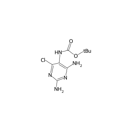 CC(C)(C)OC(=O)Nc1c(N)nc(N)nc1Cl